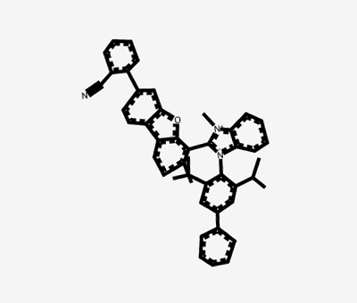 Cc1ccc2c(oc3cc(-c4ccccc4C#N)ccc32)c1-c1n(-c2c(C(C)C)cc(-c3ccccc3)cc2C(C)C)c2ccccc2[n+]1C